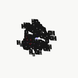 CC1=C(/C=C/C(C)=C/C=C/C(C)=C/C(O)OCC2OC3OC4C(CO)OC(OC5C(CO)OC(OC6C(CO)OC(OC7C(CO)OC(OC8C(CO)OC(OC2C(O)C3O)C(O)C8O)C(O)C7O)C(O)C6O)C(O)C5O)C(O)C4O)C(C)(C)CCC1